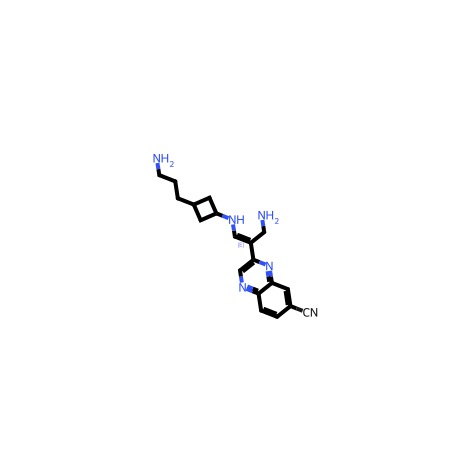 N#Cc1ccc2ncc(/C(=C/NC3CC(CCCN)C3)CN)nc2c1